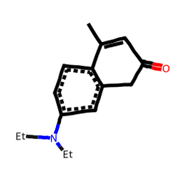 CCN(CC)c1ccc2c(c1)CC(=O)C=C2C